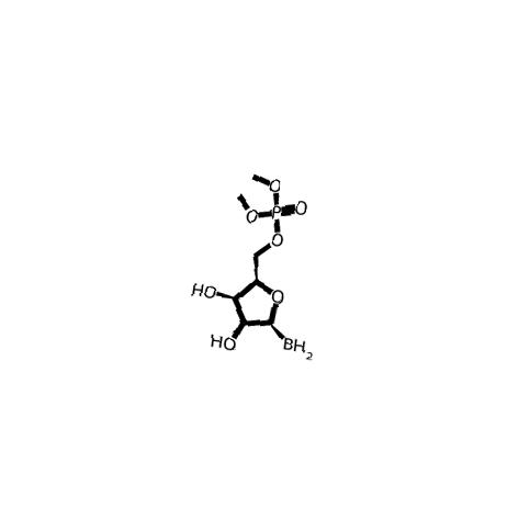 B[C@@H]1O[C@H](COP(=O)(OC)OC)[C@H](O)C1O